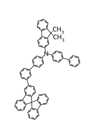 CC1(C)c2ccccc2-c2ccc(N(c3ccc(-c4ccccc4)cc3)c3ccc(-c4cccc(-c5ccc6c(c5)-c5ccccc5C65c6ccccc6-c6ccccc65)c4)cc3)cc21